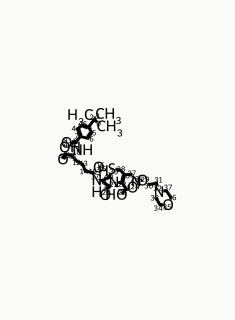 CC(C)(C)c1ccc(C(=O)NC(CCCC(=O)N[C@@H]2C(=O)N3C(C(=O)O)=C(C=NOCCN4CCOCC4)CS[C@@H]23)C(=O)O)cc1